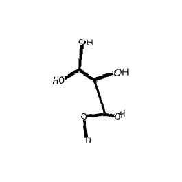 OC(O)C(O)C(O)[O][Ti]